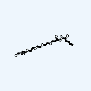 C=CCCC(=O)N(C)OC(=O)CCOCCOCCOCCOCCNC=O